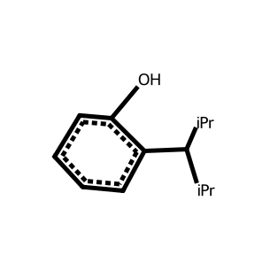 CC(C)C(c1ccccc1O)C(C)C